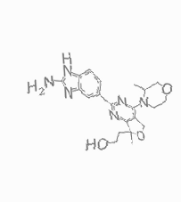 CC1COCCN1c1nc(-c2ccc3[nH]c(N)nc3c2)nc2c1COC2(C)CCO